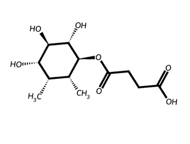 C[C@@H]1[C@H](C)[C@H](O)[C@@H](O)[C@H](O)[C@H]1OC(=O)CCC(=O)O